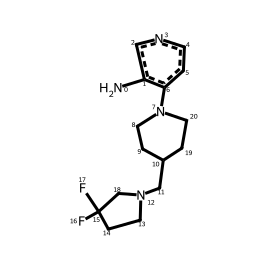 Nc1cnccc1N1CCC(CN2CCC(F)(F)C2)CC1